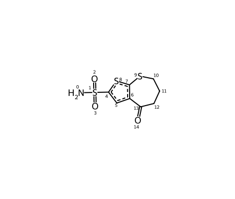 NS(=O)(=O)c1cc2c(s1)SCCCC2=O